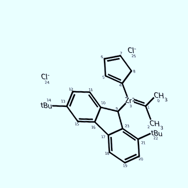 C[C](C)=[Zr+2]([C]1=CC=CC1)[CH]1c2ccc(C(C)(C)C)cc2-c2cccc(C(C)(C)C)c21.[Cl-].[Cl-]